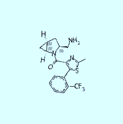 Cc1nc(C(=O)N2[C@H](CN)C[C@@H]3C[C@@H]32)c(-c2ccccc2C(F)(F)F)s1